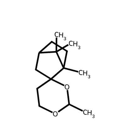 CC1OCCC2(CC3CCC2(C)C3(C)C)O1